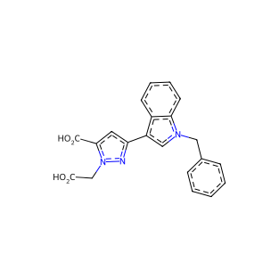 O=C(O)Cn1nc(-c2cn(Cc3ccccc3)c3ccccc23)cc1C(=O)O